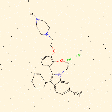 CCN1CCN(CCOc2cccc3c2OCCn2c-3c(C3CCCCC3)c3ccc(C(=O)O)cc32)CC1.Cl.Cl